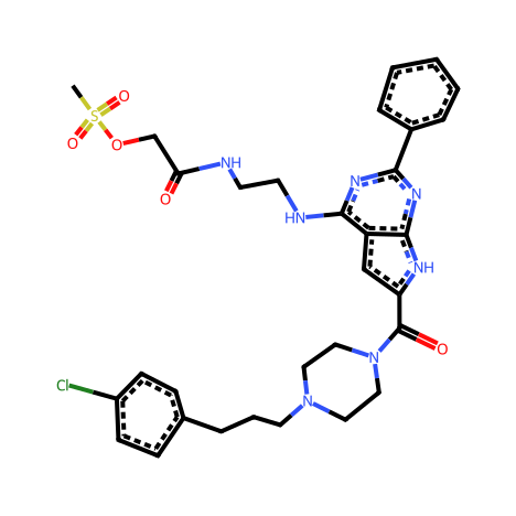 CS(=O)(=O)OCC(=O)NCCNc1nc(-c2ccccc2)nc2[nH]c(C(=O)N3CCN(CCCc4ccc(Cl)cc4)CC3)cc12